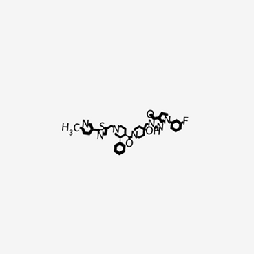 Cc1ccc(-c2ncc(CN3CC[C@@H](C(=O)N4CCC(O)(Cn5cnc6c(ccn6-c6cccc(F)c6)c5=O)CC4)[C@H](c4ccccc4)C3)s2)cn1